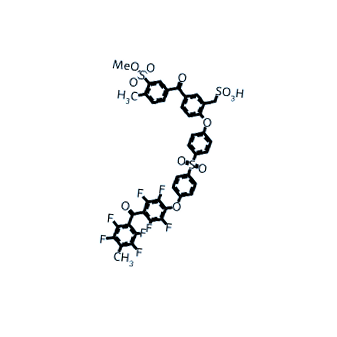 COS(=O)(=O)c1cc(C(=O)c2ccc(Oc3ccc(S(=O)(=O)c4ccc(Oc5c(F)c(F)c(C(=O)c6c(F)c(F)c(C)c(F)c6F)c(F)c5F)cc4)cc3)c(CS(=O)(=O)O)c2)ccc1C